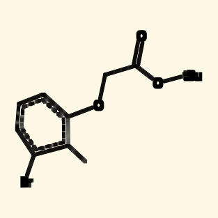 Cc1c(Br)cccc1OCC(=O)OC(C)(C)C